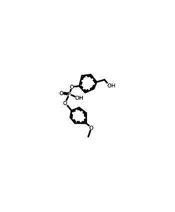 COc1ccc(OP(=O)(O)Oc2ccc(CO)cc2)cc1